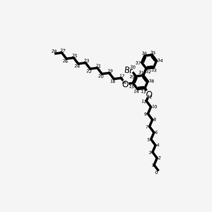 CCCCCCCCCCCCOc1cc(OCCCCCCCCCCCC)c(Br)c(-c2ccccc2)c1